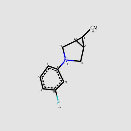 N#CC1C2CN(c3cccc(F)c3)CC12